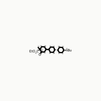 CCCC[C@H]1CC[C@H](C2CCC(C3CC[C@](C)(C(=O)OCC)C(=O)C3)CC2)CC1